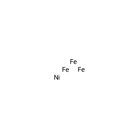 [Fe].[Fe].[Fe].[Ni]